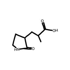 CC(CC1CCNC1=O)C(=O)O